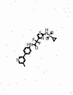 Cc1cncc(-c2ccc(NC(=O)C(F)(F)c3csc(NS(=O)(=O)C4CC4)n3)cc2)c1